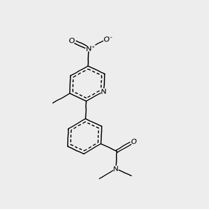 Cc1cc([N+](=O)[O-])cnc1-c1cccc(C(=O)N(C)C)c1